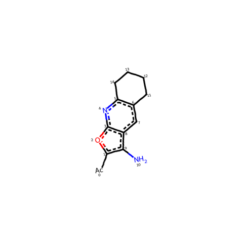 CC(=O)c1oc2nc3c(cc2c1N)CCCC3